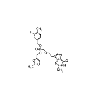 C=C1OC=C(COP(=O)(COCCn2cnc3c(=O)[nH]c(N)nc32)OCc2ccc(C)c(F)c2)O1